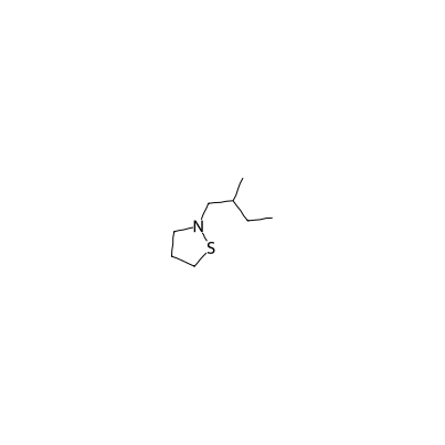 CCC(C)CN1CCCS1